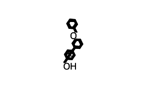 OCC12CCC(c3cccc(OCc4ccccc4)c3)(CC1)CC2